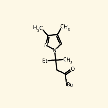 CCC(C)C(=O)CC(C)(CC)n1cc(C)c(C)n1